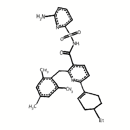 CCC1CC=C(c2ccc(C(=O)NS(=O)(=O)c3cccc(N)n3)c(Cc3c(C)cc(C)cc3C)n2)CC1